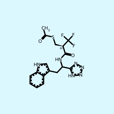 CC(=O)SC[C@H](C(=O)NC(Cc1c[nH]c2ccccc12)c1nnn[nH]1)C(F)(F)F